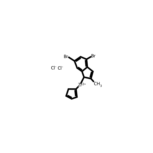 CC1=Cc2c(Br)cc(Br)cc2[CH]1[Zr+2][C]1=CC=CC1.[Cl-].[Cl-]